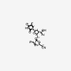 CC(=O)N(O)[C@H]1C[C@H](n2cc(C)c(=O)[nH]c2=O)O[C@@H]1COP(OCCC#N)N(C(C)C)C(C)C